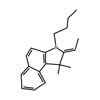 CC=C1N(CCCC)c2ccc3ccccc3c2C1(C)C